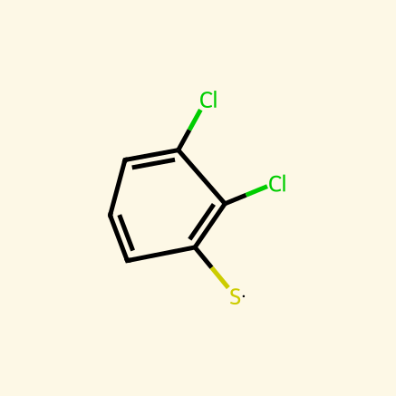 [S]c1cccc(Cl)c1Cl